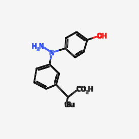 CC(C)(C)C(C(=O)O)c1cccc(N(N)c2ccc(O)cc2)c1